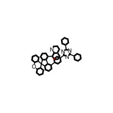 c1ccc(-c2nc(-c3ccccc3)nc(-c3ccc(-c4cccc5c4-c4c(-c6cccc7cccnc67)cccc4C54c5ccccc5Oc5ccccc54)cc3)n2)cc1